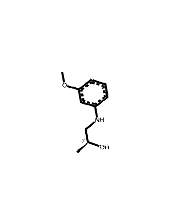 COc1[c]ccc(NC[C@H](C)O)c1